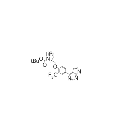 CC(C)C[C@@](C)(COc1ccc(-c2ncnc3c2ccn3C)cc1C(F)(F)F)NC(=O)OC(C)(C)C